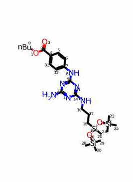 CCCCOC(=O)c1ccc(Nc2nc(N)nc(NCCC[Si](C)(O[Si](C)(C)C)O[Si](C)(C)C)n2)cc1